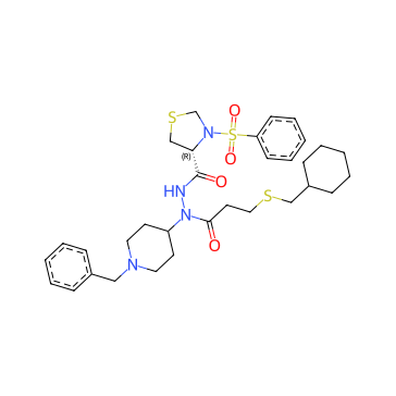 O=C(NN(C(=O)CCSCC1CCCCC1)C1CCN(Cc2ccccc2)CC1)[C@@H]1CSCN1S(=O)(=O)c1ccccc1